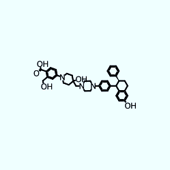 O=C(O)c1ccc(N2CCC(O)(CN3CCN(c4ccc(C5c6ccc(O)cc6CC[C@@H]5c5ccccc5)cc4)CC3)CC2)cc1CO